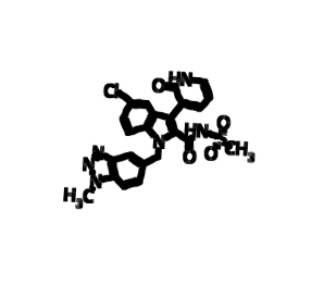 Cn1nnc2cc(Cn3c(C(=O)NS(C)(=O)=O)c(-c4ccc[nH]c4=O)c4cc(Cl)ccc43)ccc21